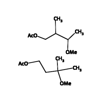 COC(C)(C)CCOC(C)=O.COC(C)C(C)COC(C)=O